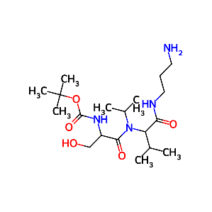 CC(C)C(C(=O)NCCCN)N(C(=O)C(CO)NC(=O)OC(C)(C)C)C(C)C